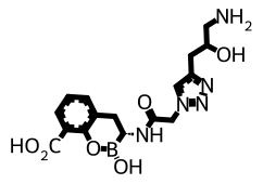 NCC(O)Cc1cn(CC(=O)N[C@H]2Cc3cccc(C(=O)O)c3OB2O)nn1